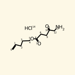 C=CCCCOC(=O)CCC(=O)CN.Cl